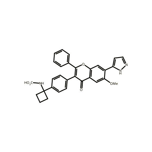 COc1cc2c(=O)c(-c3ccc(C4(NC(=O)O)CCC4)cc3)c(-c3ccccc3)oc2cc1-c1ccn[nH]1